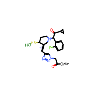 COC(=O)Cn1cc(/C=C2\CN(C(C(=O)C3CC3)c3ccccc3F)CCC2S)nn1.Cl